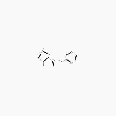 Cc1ccc(N)cc1C(=O)NCc1ccccc1